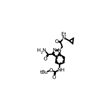 [CH2]CN(C(=O)Cn1nc(C(N)=O)c2cc(NC(=O)OC(C)(C)C)ccc21)C1CC1